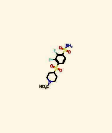 NS(=O)(=O)c1ccc(S(=O)(=O)C2CCN(C(=O)O)CC2)c(F)c1F